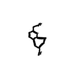 CC(C)Cc1[c]c2ccc(Br)cc2cc1